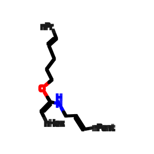 CCCC=CCCCOC(=CCCCCCC)NCC=CCCCCC